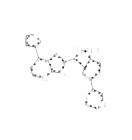 c1cnc(-c2ccc3[nH]nc(-c4cc5c(-c6ccsc6)ccnc5[nH]4)c3c2)cn1